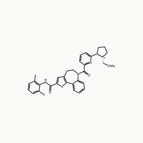 COC[C@H]1CCCN1c1cccc(C(=O)N2CCc3cc(C(=O)Nc4c(C)cccc4F)sc3-c3ccccc32)n1